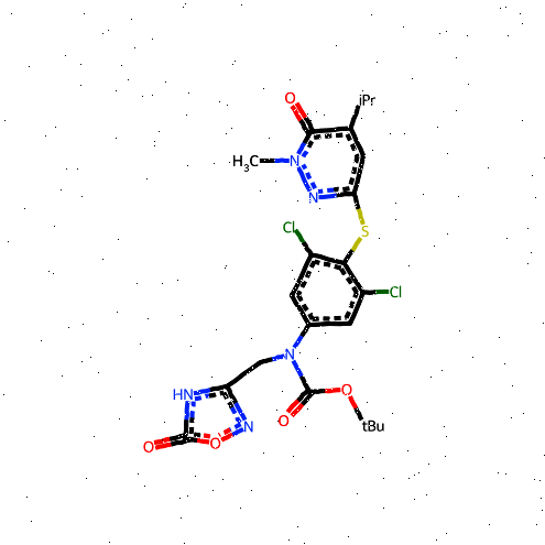 CC(C)c1cc(Sc2c(Cl)cc(N(Cc3noc(=O)[nH]3)C(=O)OC(C)(C)C)cc2Cl)nn(C)c1=O